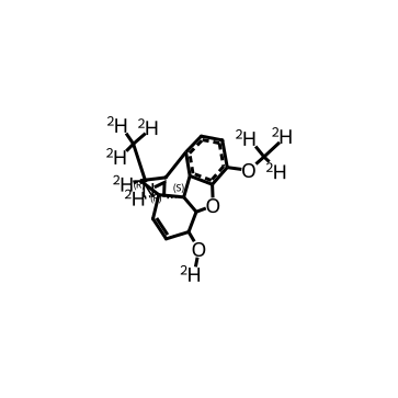 [2H]OC1C=C[C@]2([2H])[C@@]34CCN(C([2H])([2H])[2H])[C@]2([2H])Cc2ccc(OC([2H])([2H])[2H])c(c23)OC14